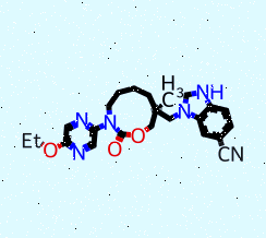 CCOc1cnc(N2CCCC[C@](C)(CN3CNc4ccc(C#N)cc43)COC2=O)cn1